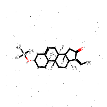 C/C=C1\C(=O)C[C@H]2[C@@H]3CC=C4C[C@@H](O[Si](C)(C)C(C)(C)C)CC[C@]4(C)[C@H]3CC[C@]12C